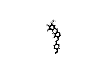 C=CC1CCC(CCc2ccc3c(c2F)Oc2c(cc(OCC)c(F)c2F)C3)CO1